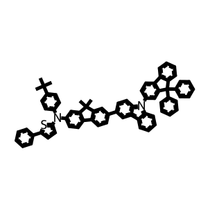 CC(C)(C)c1ccc(N(c2ccc3c(c2)C(C)(C)c2cc(-c4ccc5c(c4)c4ccccc4n5-c4ccc5c(c4)C(c4ccccc4)(c4ccccc4)c4ccccc4-5)ccc2-3)c2ccc(-c3ccccc3)s2)cc1